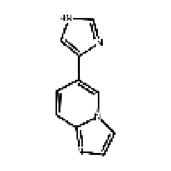 [c]1cn2cc(-c3c[nH]cn3)ccc2n1